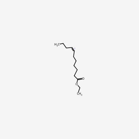 CCC/C=C\CCCCCC(=O)OCC